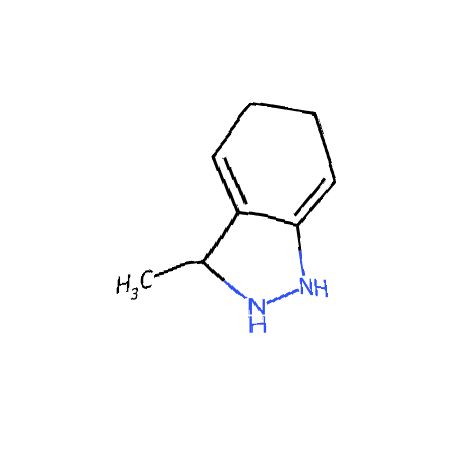 CC1NNC2=CCCC=C21